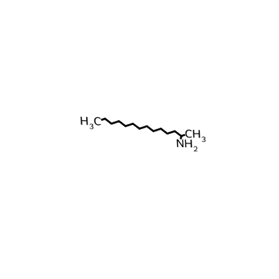 CCCCCCCCCCCCC(C)N